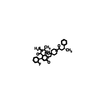 CC(C)N(C)C(=O)c1cn(CC2(O)CCN(C(=O)C[C@@H](C)c3ccccc3)CC2)c(=O)cc1-c1ccccc1F